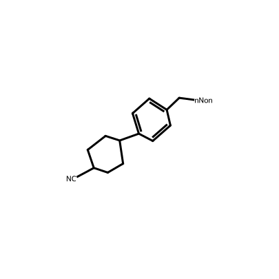 CCCCCCCCCCc1ccc(C2CCC(C#N)CC2)cc1